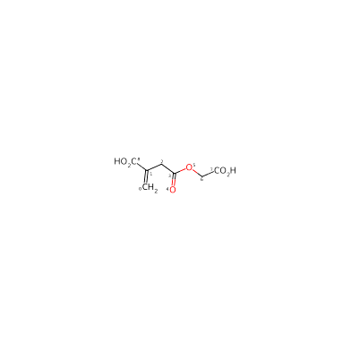 C=C(CC(=O)OCC(=O)O)C(=O)O